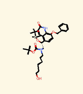 CC(C)(C)OC(=O)N(CCCCCCO)C[C@H](O[Si](C)(C)C(C)(C)C)c1ccc(OCc2ccccc2)c2[nH]c(=O)ccc12